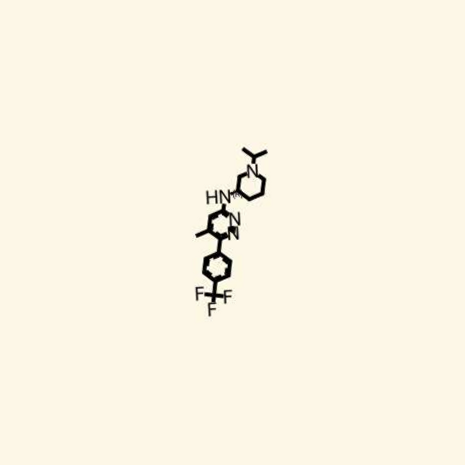 Cc1cc(N[C@@H]2CCCN(C(C)C)C2)nnc1-c1ccc(C(F)(F)F)cc1